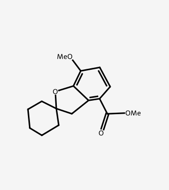 COC(=O)c1ccc(OC)c2c1CC1(CCCCC1)O2